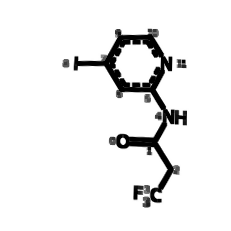 O=C(CC(F)(F)F)Nc1cc(I)ccn1